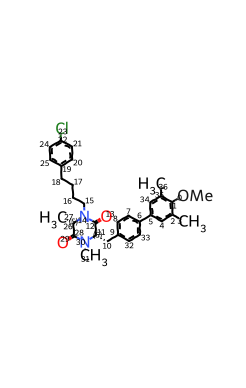 COc1c(C)cc(-c2ccc(C[C@H]3C(=O)N(CCCCc4ccc(Cl)cc4)[C@@H](C)C(=O)N3C)cc2)cc1C